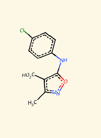 Cc1noc(Nc2ccc(Cl)cc2)c1C(=O)O